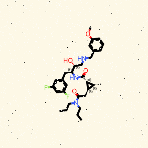 CCCN(CCC)C(=O)C[C@@H]1[C@@H](C)[C@H]1C(=O)N[C@@H](Cc1cc(F)cc(F)c1)[C@H](O)CNCc1cccc(OC)c1